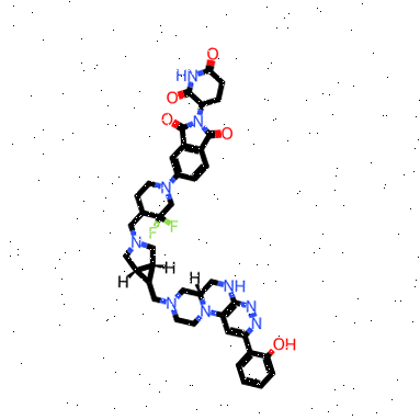 O=C1CCC(N2C(=O)c3ccc(N4CCC(CN5C[C@@H]6C(CN7CCN8c9cc(-c%10ccccc%10O)nnc9NC[C@H]8C7)[C@@H]6C5)C(F)(F)C4)cc3C2=O)C(=O)N1